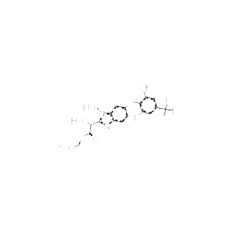 CCOC(=O)C(C)c1nc2ccc(Oc3c(F)cc(C(F)(F)F)cc3Cl)cc2n1C